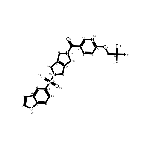 O=C(c1ccc(OCC(F)(F)F)nc1)N1CC2=C(C1)CN(S(=O)(=O)c1ccc3occc3c1)C2